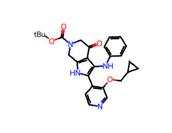 CC(C)(C)OC(=O)N1CC(=O)c2c([nH]c(-c3ccncc3OCC3CC3)c2Nc2ccccc2)C1